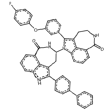 O=C1NC(n2c(-c3cccc(Oc4ccc(F)cc4)c3)c3c4c(cccc42)C(=O)NCC3)Cc2c(-c3ccc(-c4ccccc4)cc3)[nH]c3cccc1c23